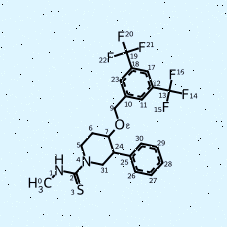 CNC(=S)N1CCC(OCc2cc(C(F)(F)F)cc(C(F)(F)F)c2)C(c2ccccc2)C1